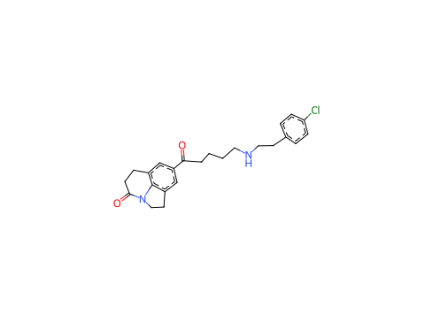 O=C(CCCCNCCc1ccc(Cl)cc1)c1cc2c3c(c1)CCN3C(=O)CC2